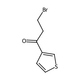 O=C(CCBr)c1ccsc1